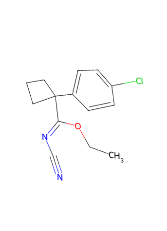 CCOC(=NC#N)C1(c2ccc(Cl)cc2)CCC1